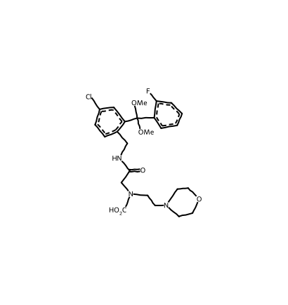 COC(OC)(c1ccccc1F)c1cc(Cl)ccc1CNC(=O)CN(CCN1CCOCC1)C(=O)O